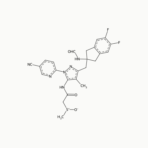 Cc1c(CC2(NC=O)Cc3cc(F)c(F)cc3C2)nn(-c2ccc(C#N)cn2)c1NC(=O)C[S+](C)[O-]